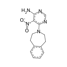 Nc1ncnc(N2CCc3ccccc3CC2)c1[N+](=O)[O-]